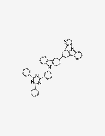 c1ccc(-c2nc(-c3ccccc3)nc(-c3cccc(-n4c5ccccc5c5cc(-c6cc7c8ccccc8n8c9ccsc9c(c6)c78)ccc54)c3)n2)cc1